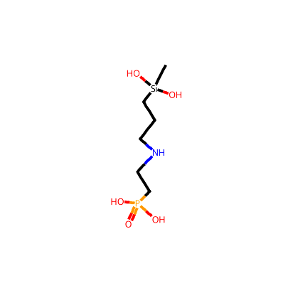 C[Si](O)(O)CCCNCCP(=O)(O)O